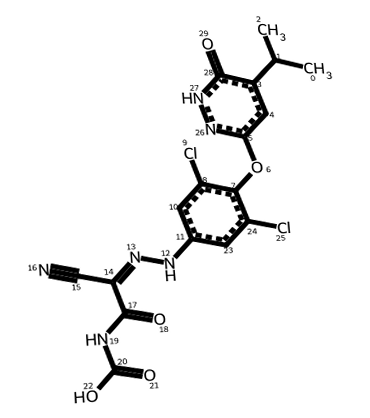 CC(C)c1cc(Oc2c(Cl)cc(N/N=C(/C#N)C(=O)NC(=O)O)cc2Cl)n[nH]c1=O